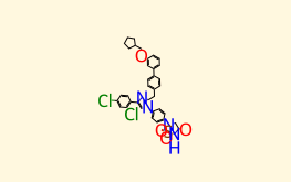 O=C1CN(c2ccc(-n3cc(-c4ccc(Cl)cc4Cl)nc3Cc3ccc(-c4cccc(OCC5CCCC5)c4)cc3)cc2)S(=O)(=O)N1